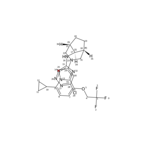 FC(F)(F)COc1ccc(C2CC2)n2nc(N[C@@H]3[C@@H]4CC[C@H]3CN(c3cnnc(Cl)c3)C4)nc12